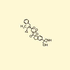 C[C@@H](C1CC1)N(Cc1ccccc1)C(=O)CN1C(=O)OC2(CCc3cc(C4(CO)CNC4)ccc32)C1=O